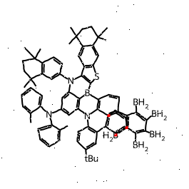 Bc1c(B)c(B)c(-c2ccc3c(c2)N(c2ccc(C(C)(C)C)cc2-c2ccccc2)c2cc(N(c4ccccc4C)c4ccccc4C)cc4c2B3c2sc3cc5c(cc3c2N4c2ccc3c(c2)C(C)(C)CCC3(C)C)C(C)(C)CCC5(C)C)c(B)c1B